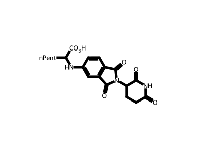 CCCCCC(Nc1ccc2c(c1)C(=O)N(C1CCC(=O)NC1=O)C2=O)C(=O)O